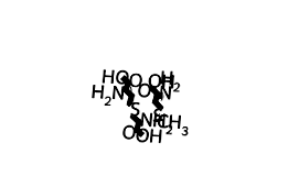 CSCC[C@H](N)C(=O)O.NC(CSCC[C@H](N)C(=O)O)C(=O)O